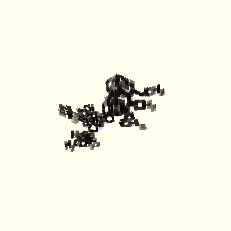 C=C(C(=O)OCC)C(CCC)C(O)C[C@@H](C)[C@H]1CC[C@H]2/C(=C/C=C3/C[C@@H](O[Si](C)(C)C(C)(C)C)C[C@H](O[Si](C)(C)C(C)(C)C)C3=C)CCC[C@]12C